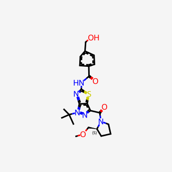 COC[C@@H]1CCCN1C(=O)c1nn(C(C)(C)C)c2nc(NC(=O)c3ccc(CO)cc3)sc12